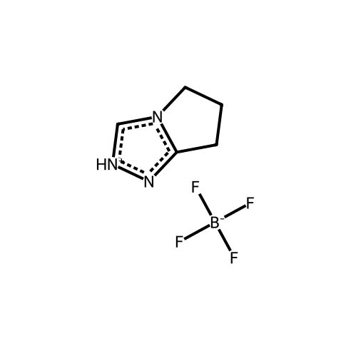 F[B-](F)(F)F.c1[nH+]nc2n1CCC2